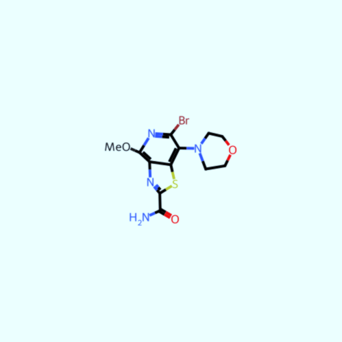 COc1nc(Br)c(N2CCOCC2)c2sc(C(N)=O)nc12